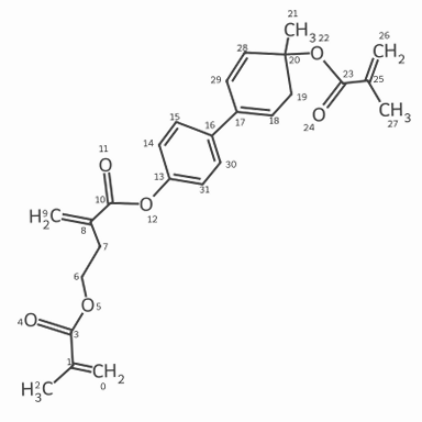 C=C(C)C(=O)OCCC(=C)C(=O)Oc1ccc(C2=CCC(C)(OC(=O)C(=C)C)C=C2)cc1